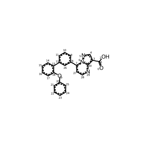 O=C(O)c1cnn2c(-c3cccc(-c4ccccc4Oc4ccccc4)c3)ccnc12